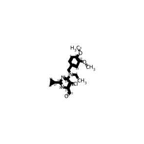 CCN(Cc1ccc(OC)c(OC)c1)c1nc(C2CC2)nc(C=O)c1Cl